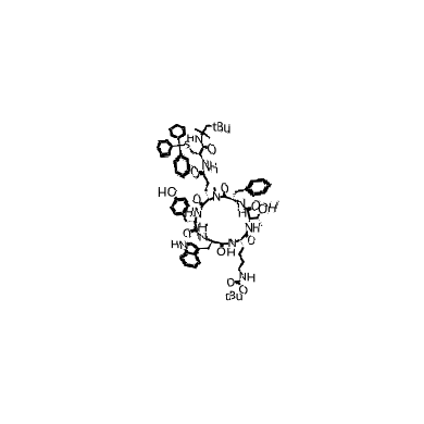 C[C@@H](O)[C@@H]1NC(=O)[C@H](CCCCNC(=O)OC(C)(C)C)NC(=O)[C@@H](Cc2c[nH]c3ccccc23)NC(=O)[C@H](Cc2ccc(O)cc2)NC(=O)[C@H](CCC(=O)N[C@@H](CSC(c2ccccc2)(c2ccccc2)c2ccccc2)C(=O)NC(C)(C)CC(C)(C)C)N(C)C(=O)[C@H](Cc2ccccc2)NC1=O